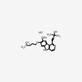 COc1cc2c(cc1OCCCN(C)C)[nH]c1ccnc(C#CC(C)(C)O)c12.Cl